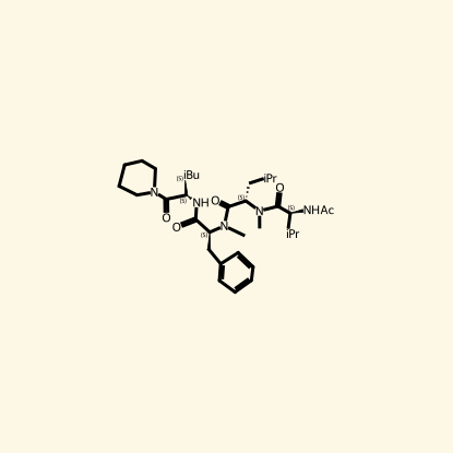 CC[C@H](C)[C@H](NC(=O)[C@H](Cc1ccccc1)N(C)C(=O)[C@H](CC(C)C)N(C)C(=O)[C@@H](NC(C)=O)C(C)C)C(=O)N1CCCCC1